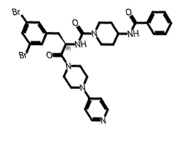 O=C(NC1CCN(C(=O)N[C@H](Cc2cc(Br)cc(Br)c2)C(=O)N2CCN(c3ccncc3)CC2)CC1)c1ccccc1